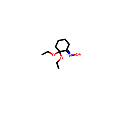 CCOC1(OCC)CCCC/C1=N\O